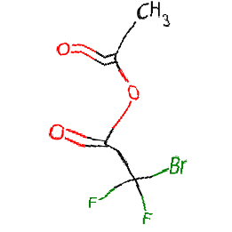 CC(=O)OC(=O)C(F)(F)Br